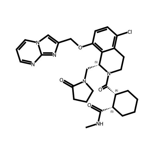 CNC(=O)[C@H]1CCCC[C@H]1C(=O)N1CCc2c(Cl)ccc(OCc3cn4cccnc4n3)c2[C@H]1CN1CCCC1=O